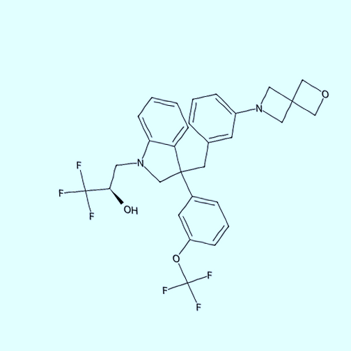 O[C@H](CN1CC(Cc2cccc(N3CC4(COC4)C3)c2)(c2cccc(OC(F)(F)F)c2)c2ccccc21)C(F)(F)F